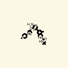 Cc1cc(-c2cnc(N)c(Oc3cnn(C4CCN(C)CC4)c3)n2)cc(C)c1CNC(=O)NC(C)(C)C